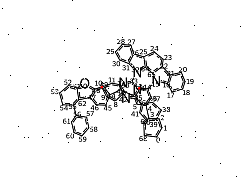 c1ccc(-c2cc(-c3ccccc3)cc(-n3c4ccccc4c4ccc5c6ccccc6n(-c6nc(-c7ccccc7)nc(-c7ccc8c(c7)oc7cccc(-c9ccccc9)c78)n6)c5c43)c2)cc1